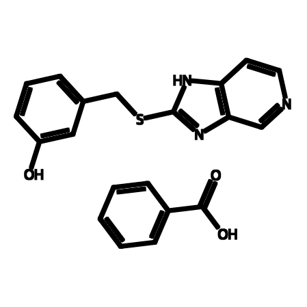 O=C(O)c1ccccc1.Oc1cccc(CSc2nc3cnccc3[nH]2)c1